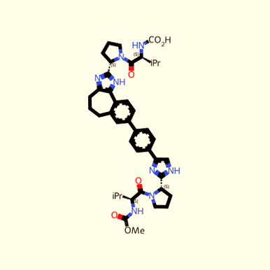 COC(=O)N[C@H](C(=O)N1CCC[C@H]1c1nc(-c2ccc(-c3ccc4c(c3)CCCc3nc([C@@H]5CCCN5C(=O)[C@@H](NC(=O)O)C(C)C)[nH]c3-4)cc2)c[nH]1)C(C)C